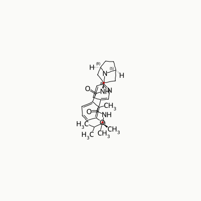 COc1cccc(C(=O)N[C@H]2C[C@H]3CC[C@@H](C2)N3c2ccc(C(=O)N[C@@H](C)C(C)C)cn2)c1C